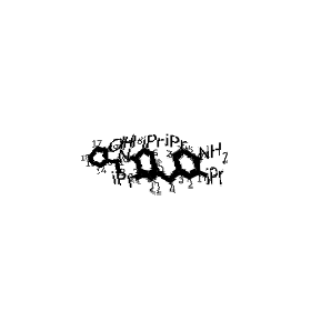 CC(C)c1cc(Cc2cc(C(C)C)c(NC(C)c3ccccc3O)c(C(C)C)c2)cc(C(C)C)c1N